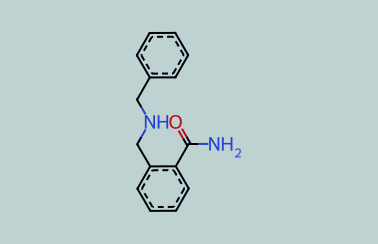 NC(=O)c1ccccc1CNCc1ccccc1